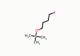 C[Si](C)(C)OCCCCI